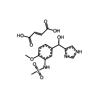 COc1ccc(C(O)c2c[nH]cn2)cc1NS(C)(=O)=O.O=C(O)/C=C/C(=O)O